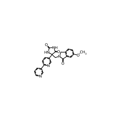 COc1ccc2c(c1)C(=O)N(CC1(c3ccc(-c4cccnc4)nc3)NC(=O)NC1=O)C2